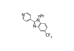 CCCn1c(-c2ccncc2)nc2cc(C(F)(F)F)ccc21